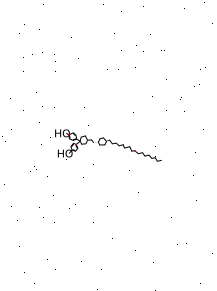 CCCCCCCCCCCCCCCCC[C@H]1CC[C@H](CCC2CCC(c3ccc(O)cc3)(c3ccc(O)cc3)CC2)CC1